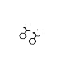 CCC(C(=O)[O-])C1CCCCC1.CCC(C(=O)[O-])C1CCCCC1.[Co+2]